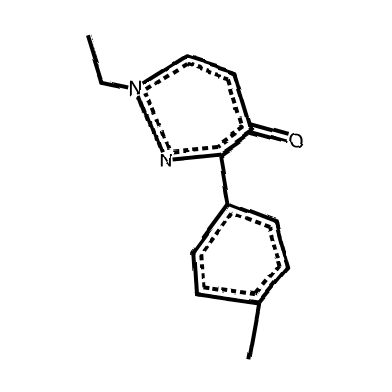 CCn1ccc(=O)c(-c2ccc(C)cc2)n1